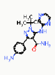 CC(C)(C)n1nc(-c2ccc(N)cc2)c(C(N)=O)c1Nc1cnccn1